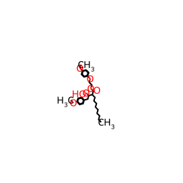 CCCCCCCCCC(C(=O)OCCOc1ccc(OC)cc1)C(Cc1ccc(OC)cc1)OO